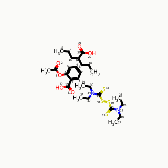 CC(=O)Oc1ccccc1C(=O)O.CCCC(CCC)C(=O)O.CCN(CC)C(=S)SSC(=S)N(CC)CC